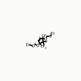 CCOCOC1(C(F)(F)F)C=CC(OCOCC)(C(F)(F)F)C1(F)F